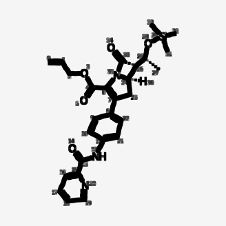 C=CCOC(=O)C1=C(c2ccc(NC(=O)c3ccccn3)cc2)C[C@@H]2[C@@H]([C@@H](C)O[Si](C)(C)C)C(=O)N12